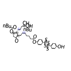 CCCCC(=O)O[C@@H]1CC(=O)[C@H](C/C=C\CCCC(=O)Oc2ccc(P3(=S)SP(=S)(c4ccc(O)cc4)S3)cc2)[C@H]1/C=C/C[C@@](C)(O)CCCC